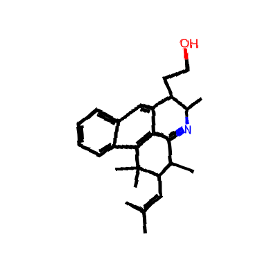 CC(C)=CC1C(C)C2=NC(C)C(CCO)c3cc4ccccc4c(c32)C1(C)C